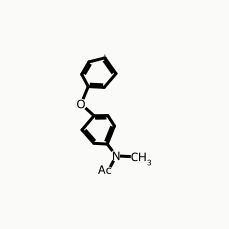 CC(=O)N(C)c1ccc(Oc2cc[c]cc2)cc1